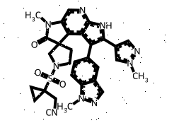 CN1C(=O)C2(CCN(S(=O)(=O)C3(CC#N)CC3)C2)c2c1cnc1[nH]c(-c3cnn(C)c3)c(-c3ccc4c(cnn4C)c3)c21